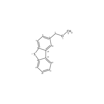 COCc1ccc2sc3ccccc3c2c1